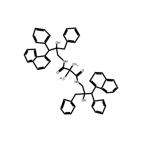 CC(C)(C(=O)NCC(O)(Cc1ccccc1)C(c1ccccc1)c1cccc2ccccc12)C(=O)NCC(O)(Cc1ccccc1)C(c1ccccc1)c1cccc2ccccc12